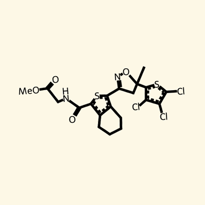 COC(=O)CNC(=O)c1sc(C2=NOC(C)(c3sc(Cl)c(Cl)c3Cl)C2)c2c1CCCC2